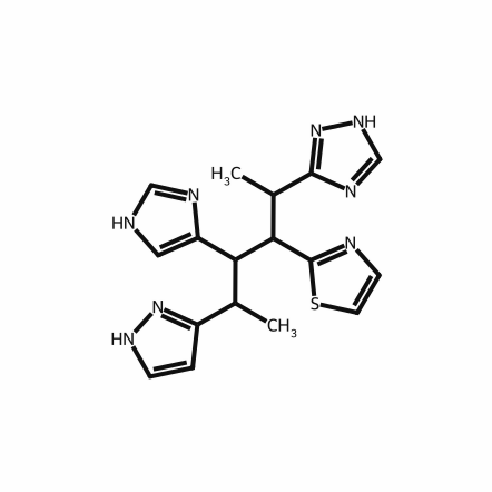 CC(c1cc[nH]n1)C(c1c[nH]cn1)C(c1nccs1)C(C)c1nc[nH]n1